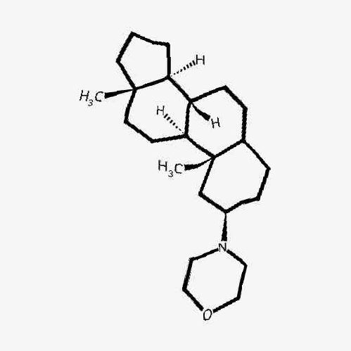 C[C@@]12CCC[C@H]1[C@@H]1CCC3CC[C@@H](N4CCOCC4)C[C@]3(C)[C@H]1CC2